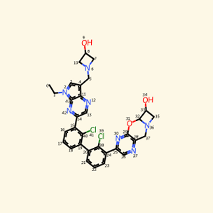 CCn1cc(CN2CC(O)C2)c2ncc(-c3cccc(-c4cccc(-c5cnc6c(n5)OC5C(O)CN5C6)c4Cl)c3Cl)nc21